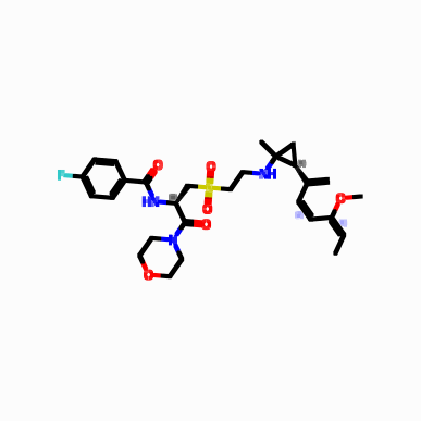 C=C(/C=C\C(=C/C)OC)[C@@H]1CC1(C)NCCS(=O)(=O)C[C@H](NC(=O)c1ccc(F)cc1)C(=O)N1CCOCC1